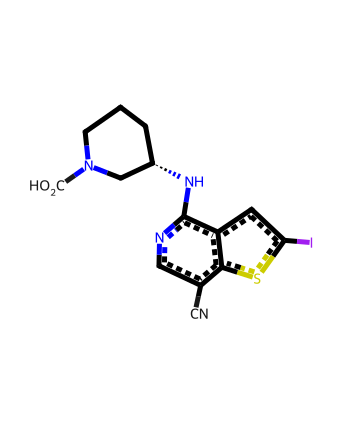 N#Cc1cnc(N[C@H]2CCCN(C(=O)O)C2)c2cc(I)sc12